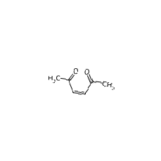 CC(=O)/C=C\C(C)=O